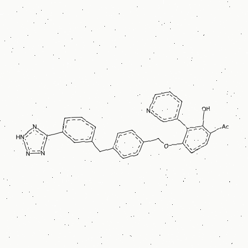 CC(=O)c1ccc(OCc2ccc(Cc3cccc(-c4nn[nH]n4)c3)cc2)c(-c2cccnc2)c1O